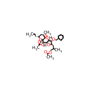 C=CC[C@@H]1CCC2(OC)O[C@@H]3[C@@H](O[C@H](C[C@@H](C)COC(C)=O)[C@@H]3OCc3ccccc3)[C@H](OC(C)=O)[C@H]2O1